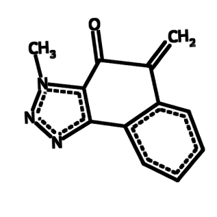 C=C1C(=O)c2c(nnn2C)-c2ccccc21